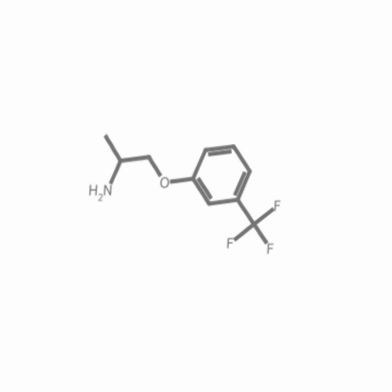 CC(N)COc1cccc(C(F)(F)F)c1